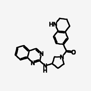 O=C(c1ccc2c(c1)CCCN2)N1CCC(Nc2ncc3ccccc3n2)C1